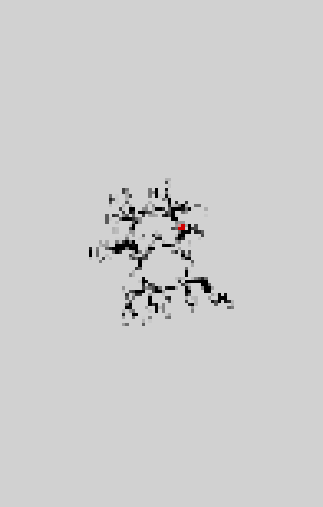 C=C[Si]1(O)O[Si](C)(OC)O[Si]2(C=C)O[Si](C)(O)O[Si](C)(C)O[Si](C)(O1)O2